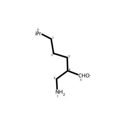 CC(C)CCCC([C]=O)CN